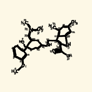 COc1cccc(C2(O)CCC(NCc3c(C(=O)O)[nH]c4cc(C)cc(C)c34)CC2CN(C)C)c1